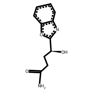 NC(=O)CC[C@H](O)c1nc2ccccc2o1